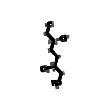 OC[C@@H](Cl)CC[C@@H](Cl)CCl